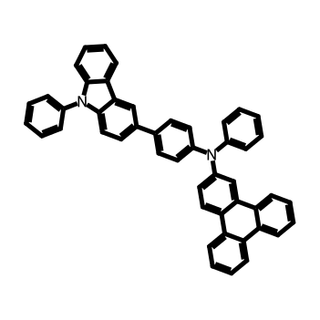 c1ccc(N(c2ccc(-c3ccc4c(c3)c3ccccc3n4-c3ccccc3)cc2)c2ccc3c4ccccc4c4ccccc4c3c2)cc1